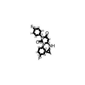 O=c1cc(NC2CC2)n(-c2ccc(F)cc2)c(=O)n1-c1ccc(F)cc1